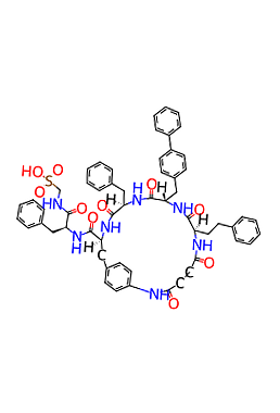 O=C1CCC(=O)N[C@H](CCc2ccccc2)C(=O)N[C@@H](Cc2ccc(-c3ccccc3)cc2)C(=O)N[C@H](Cc2ccccc2)C(=O)N[C@H](C(=O)N[C@@H](Cc2ccccc2)C(=O)NCS(=O)(=O)O)Cc2ccc(cc2)N1